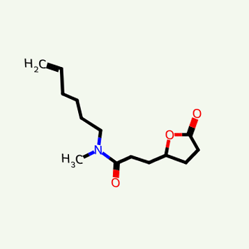 C=CCCCCN(C)C(=O)CCC1CCC(=O)O1